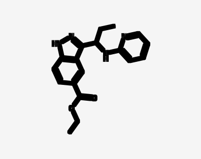 CCOC(=O)c1ccc2[nH]nc(C(CC)Nc3ccccn3)c2c1